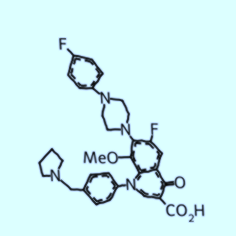 COc1c(N2CCN(c3ccc(F)cc3)CC2)c(F)cc2c(=O)c(C(=O)O)cn(-c3ccc(CN4CCCC4)cc3)c12